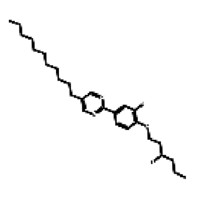 CCCCCCCCCCCc1cnc(-c2ccc(OCCC(F)CCC)c(F)c2)nc1